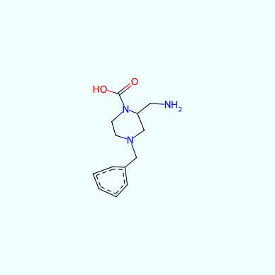 NCC1CN(Cc2ccccc2)CCN1C(=O)O